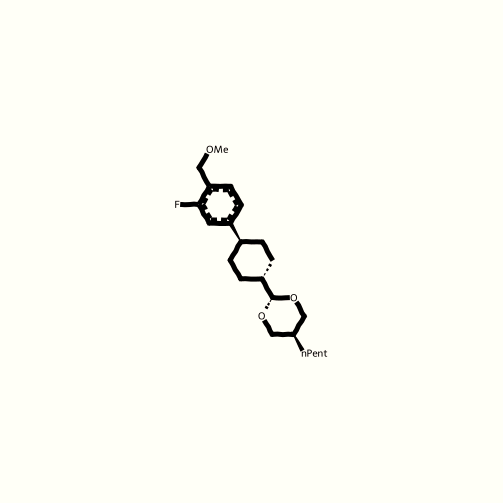 CCCCC[C@H]1CO[C@H]([C@H]2CC[C@H](c3ccc(COC)c(F)c3)CC2)OC1